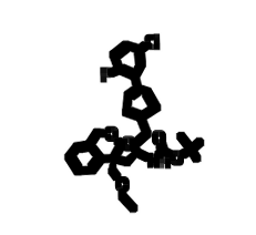 CCOC[C@]1(C[C@@H](CCc2ccc(-c3cc(Cl)ccc3F)cc2)NC(=O)OC(C)(C)C)C(=O)OCc2ccccc21